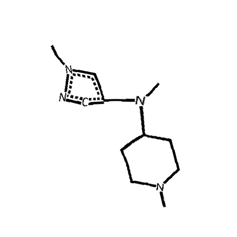 CN1CCC(N(C)c2cnn(C)c2)CC1